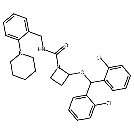 O=C(NCc1ccccc1N1CCCCC1)N1CCC1OC(c1ccccc1Cl)c1ccccc1Cl